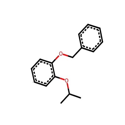 CC(C)Oc1c[c]ccc1OCc1ccccc1